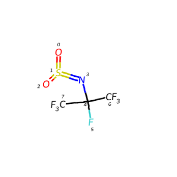 O=S(=O)=NC(F)(C(F)(F)F)C(F)(F)F